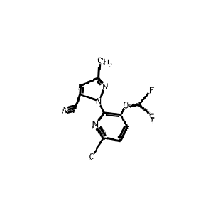 Cc1cc(C#N)n(-c2nc(Cl)ccc2OC(F)F)n1